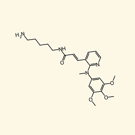 COc1cc(N(C)c2ncccc2/C=C/C(=O)NCCCCCN)cc(OC)c1OC